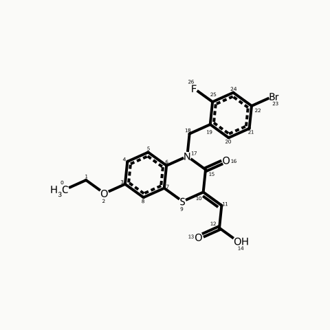 CCOc1ccc2c(c1)S/C(=C\C(=O)O)C(=O)N2Cc1ccc(Br)cc1F